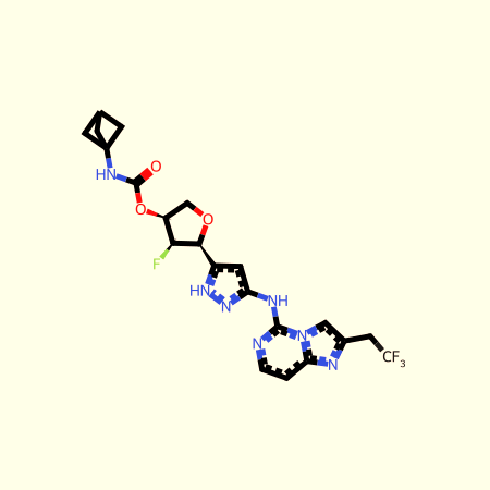 O=C(NC12CC(C1)C2)O[C@H]1CO[C@@H](c2cc(Nc3nccc4nc(CC(F)(F)F)cn34)n[nH]2)[C@H]1F